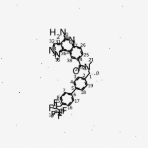 C[C@H](c1ccc(-c2ccc(S(F)(F)(F)(F)F)cc2)cc1)N(C)C(=O)c1ccc2nc(N)c3cnn(C)c3c2c1